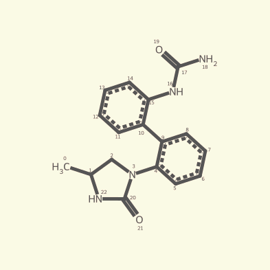 CC1CN(c2ccccc2-c2ccccc2NC(N)=O)C(=O)N1